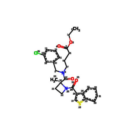 CCOC(=O)CCCN(Cc1cccc(Cl)c1)C(=O)[C@]1(C)CCN1C(=O)c1csc2ccccc12